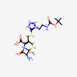 CC(C)(C)OC(=O)NCCn1nnnc1SCC1=C(C(=O)O)N2C(=O)C(N)[C@@H]2SC1